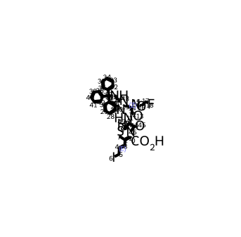 O=C(O)C1=C(/C=C/CI)CS[C@@H]2[C@H](NC(=O)/C(=N\OCF)c3nsc(NC(c4ccccc4)(c4ccccc4)c4ccccc4)n3)C(=O)N12